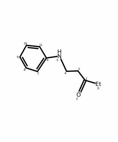 CCC(=O)CCNc1ccccc1